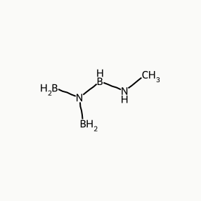 BN(B)BNC